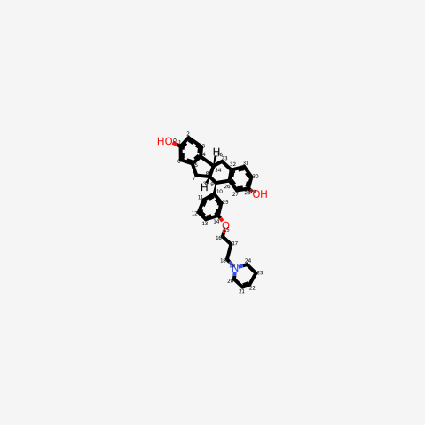 Oc1ccc2c(c1)C[C@H]1[C@H](c3cccc(OCCCN4CC=CCC4)c3)c3cc(O)ccc3C[C@@H]21